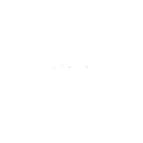 C[C@@]1(Oc2cc(NS(=O)(=O)c3cc(Br)c(Br)s3)ccc2C(F)(F)F)CCNC1